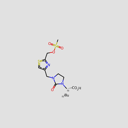 CC[C@H](C)[C@@H](C(=O)O)N1CCN(Cc2csc(COS(C)(=O)=O)n2)C1=O